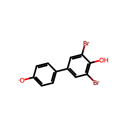 [O]c1ccc(-c2cc(Br)c(O)c(Br)c2)cc1